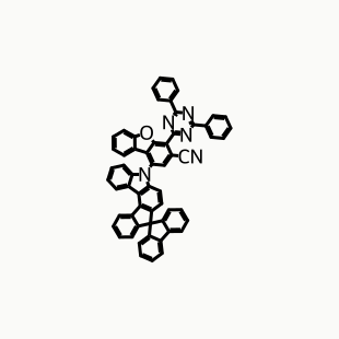 N#Cc1cc(-n2c3ccccc3c3c4c(ccc32)C2(c3ccccc3-c3ccccc32)c2ccccc2-4)c2c(oc3ccccc32)c1-c1nc(-c2ccccc2)nc(-c2ccccc2)n1